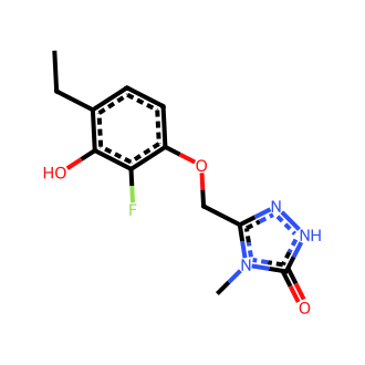 CCc1ccc(OCc2n[nH]c(=O)n2C)c(F)c1O